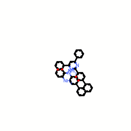 Nc1ccccc1N(N)c1ccc(-c2cccc3cccc(-c4ccc(-c5nc(-c6ccccc6)cc(-c6ccccc6)n5)cc4)c23)cc1